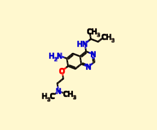 CCC(C)Nc1ncnc2cc(OCCN(C)C)c(N)cc12